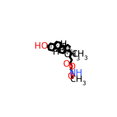 CONCOC(=O)CC[C@@H](C)[C@H]1CC[C@H]2[C@@H]3CC=C4C[C@@H](O)CC[C@]4(C)[C@H]3CC[C@]12C